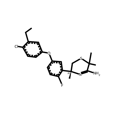 CCc1cc(Oc2ccc(F)c([C@]3(C)CSC(C)(C)C(N)=N3)c2)ccc1Cl